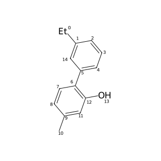 CCc1cccc(-c2ccc(C)cc2O)c1